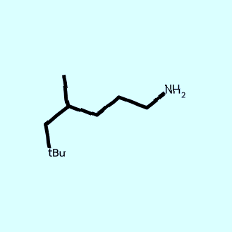 CC(CCCN)CC(C)(C)C